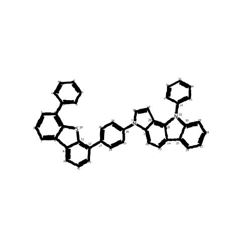 c1ccc(-c2cccc3c2sc2c(-c4ccc(-n5ccc6c5ccc5c7ccccc7n(-c7ccccc7)c56)cc4)cccc23)cc1